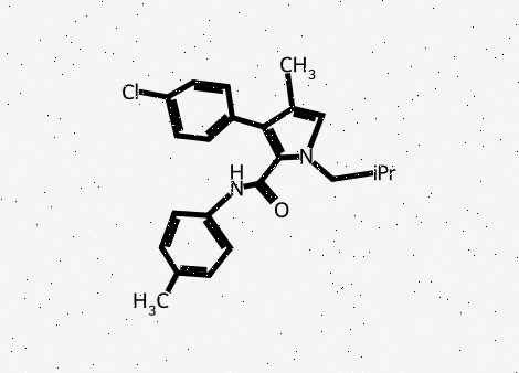 Cc1ccc(NC(=O)c2c(-c3ccc(Cl)cc3)c(C)cn2CC(C)C)cc1